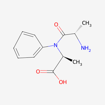 C[C@H](N)C(=O)N(c1ccccc1)[C@@H](C)C(=O)O